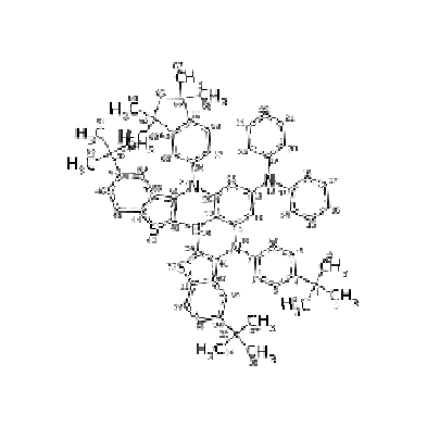 CC(C)(C)c1ccc(N2c3cc(N(c4ccccc4)c4ccccc4)cc4c3B(c3sc5ccc(C(C)(C)C)cc5c32)c2sc3ccc(C(C)(C)C)cc3c2N4c2ccc3c(c2)C(C)(C)CC3(C)C)cc1